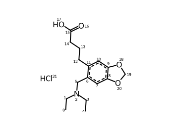 CCN(CC)Cc1cc2c(cc1CCCC(=O)O)OCO2.Cl